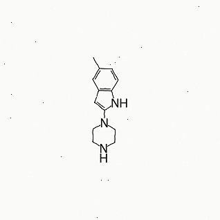 Cc1ccc2[nH]c(N3CCNCC3)cc2c1